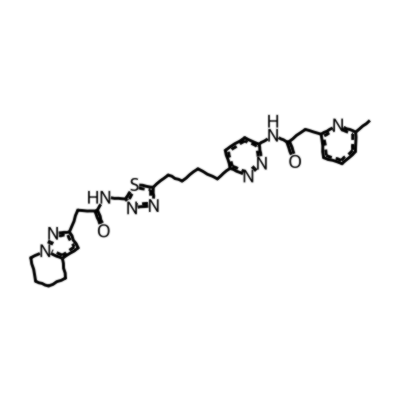 Cc1cccc(CC(=O)Nc2ccc(CCCCc3nnc(NC(=O)Cc4cc5n(n4)CCCC5)s3)nn2)n1